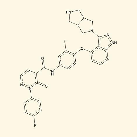 O=C(Nc1ccc(Oc2ccnc3[nH]nc(N4CC5CNCC5C4)c23)c(F)c1)c1ccnn(-c2ccc(F)cc2)c1=O